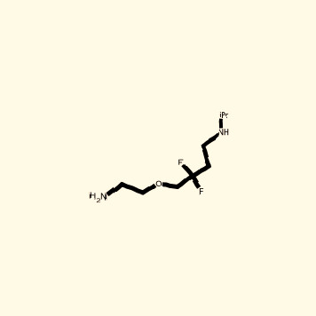 CC(C)NCCC(F)(F)COCCN